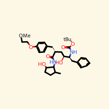 COCCOc1ccc(C[C@H](C[C@H](O)[C@H](Cc2ccccc2)NC(=O)OC(C)(C)C)C(=O)NC2C(C)CCC2O)cc1